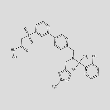 Cc1ccccc1C(C)(C)N(Cc1ccc(-c2cccc(S(=O)(=O)CC(=O)NO)c2)cc1)Cc1ccc(C(F)(F)F)o1